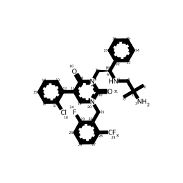 CC(C)(N)CN[C@@H](Cn1c(=O)c(-c2ccccc2Cl)cn(Cc2c(F)cccc2C(F)(F)F)c1=O)c1ccccc1